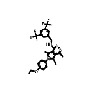 CCOc1ccc(-n2c(C)c3c(C)nnc(NCc4cc(C(F)(F)F)cc(C(F)(F)F)c4)c3c2C)cc1